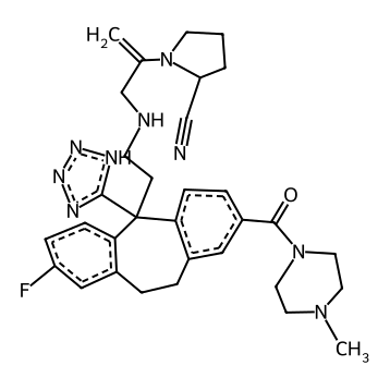 C=C(CNCCC1(c2nnn[nH]2)c2ccc(F)cc2CCc2cc(C(=O)N3CCN(C)CC3)ccc21)N1CCCC1C#N